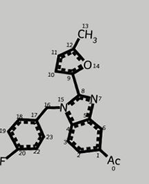 CC(=O)c1ccc2c(c1)nc(-c1ccc(C)o1)n2Cc1ccc(F)cc1